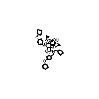 O=C(O)[C@H]1CC(C(=O)N(Cc2ccc(Oc3ccccc3)cc2)[C@H](CC2CC2)c2ccccc2)(C(=O)N(Cc2ccc(Oc3ccccc3)cc2)[C@H](CC2CC2)c2ccccc2)[C@@H]1C(=O)O